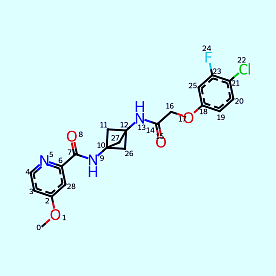 COc1ccnc(C(=O)NC23CC(NC(=O)COc4ccc(Cl)c(F)c4)(C2)C3)c1